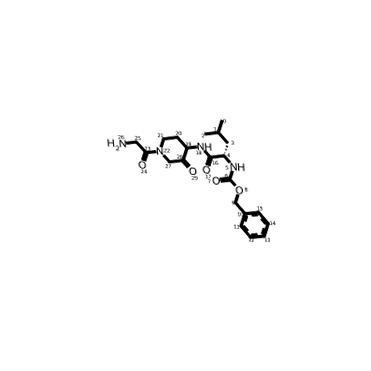 CC(C)C[C@H](NC(=O)OCc1ccccc1)C(=O)NC1CCN(C(=O)CN)CC1=O